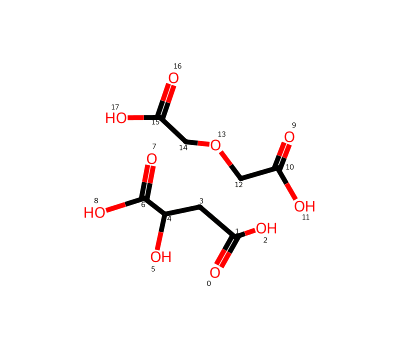 O=C(O)CC(O)C(=O)O.O=C(O)COCC(=O)O